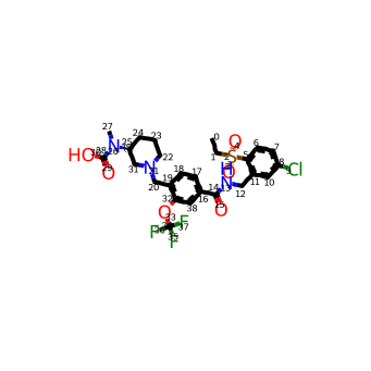 CCS(=O)(=O)c1ccc(Cl)cc1CNC(=O)c1ccc(CN2CCC[C@H](N(C)C(=O)O)C2)c(OC(F)(F)F)c1